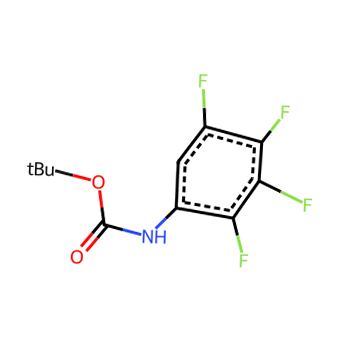 CC(C)(C)OC(=O)Nc1cc(F)c(F)c(F)c1F